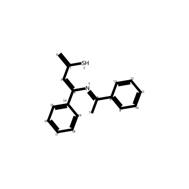 C=C(S)/C=C(\N=C(/C)c1ccccc1)c1ccccc1